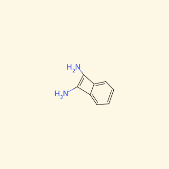 NC1=C(N)c2ccccc21